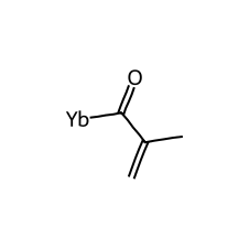 C=C(C)[C](=O)[Yb]